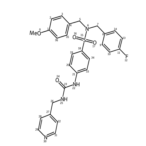 COc1ccc(CN(Cc2ccc(F)cc2)S(=O)(=O)c2ccc(NC(=O)NCc3ccncc3)cc2)cc1